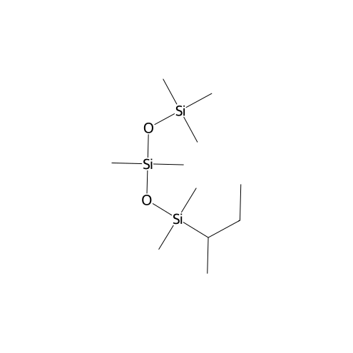 CCC(C)[Si](C)(C)O[Si](C)(C)O[Si](C)(C)C